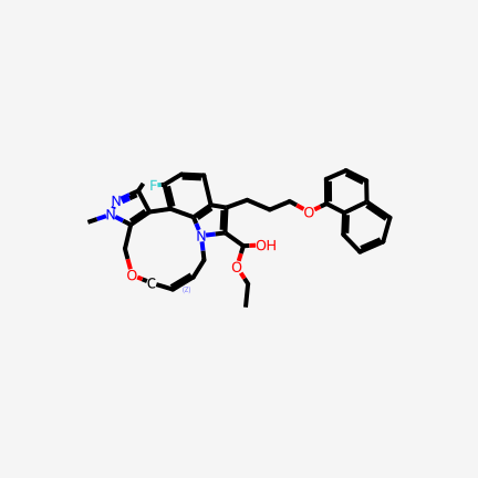 CCOC(O)c1c(CCCOc2cccc3ccccc23)c2ccc(F)c3c2n1C/C=C\COCc1c-3c(C)nn1C